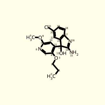 CCCOc1cnc(OC)cc1C1(O)C(N)=Nc2ccc(Cl)cc21